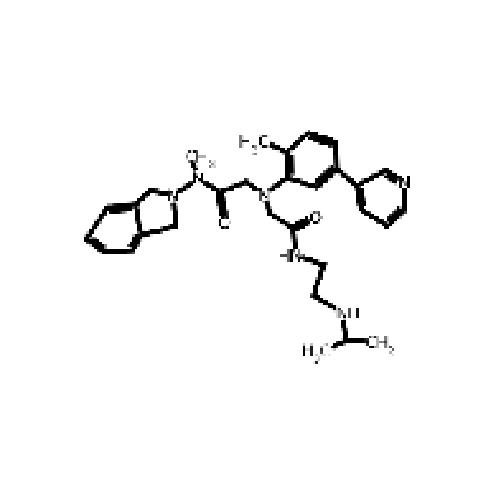 Cc1ccc(-c2cccnc2)cc1N(CC(=O)NCCNC(C)C)CC(=O)N(C)N1Cc2ccccc2C1